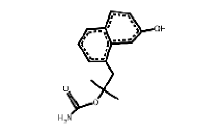 CC(C)(Cc1cccc2ccc(O)cc12)OC(N)=O